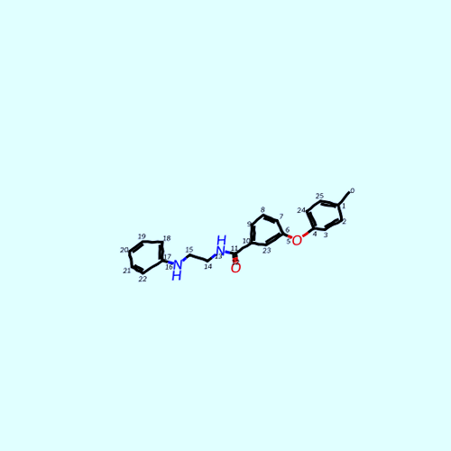 Cc1ccc(Oc2cccc(C(=O)NCCNc3ccccc3)c2)cc1